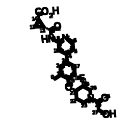 Cc1cc(-c2ccnc(NC(=O)[C@@H]3C[C@H]3C(=O)O)c2)ccc1O[C@H]1CCN(C(=O)CO)C[C@H]1F